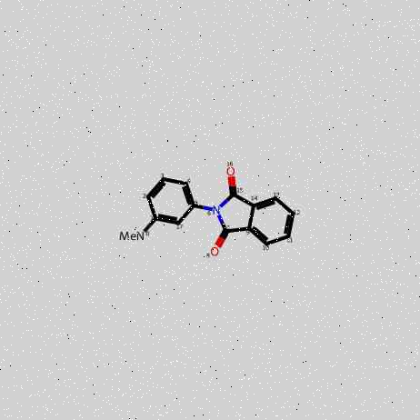 CNc1cccc(N2C(=O)c3ccccc3C2=O)c1